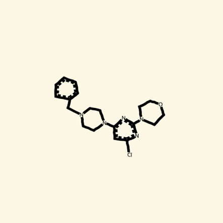 Clc1cc(N2CCN(Cc3ccccc3)CC2)nc(N2CCOCC2)n1